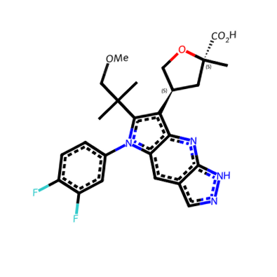 COCC(C)(C)c1c([C@H]2CO[C@](C)(C(=O)O)C2)c2nc3[nH]ncc3cc2n1-c1ccc(F)c(F)c1